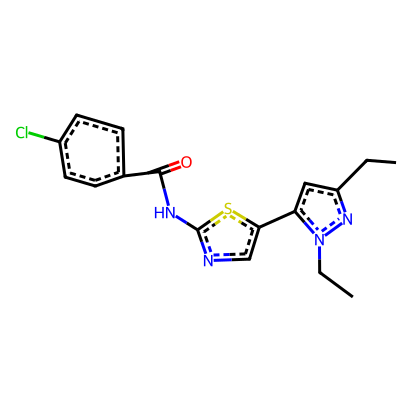 CCc1cc(-c2cnc(NC(=O)c3ccc(Cl)cc3)s2)n(CC)n1